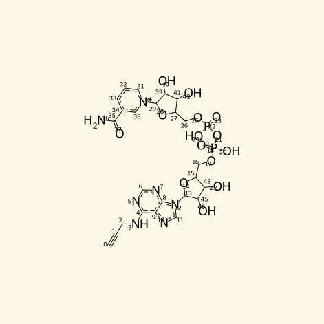 C#CCNc1ncnc2c1ncn2C1OC(COP(=O)(O)OP(=O)(O)OCC2OC([n+]3cccc(C(N)=O)c3)C(O)C2O)C(O)C1O